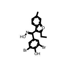 CCc1oc2cc(C)ccc2c1C(=NO)c1cc(Br)c(O)c(Br)c1